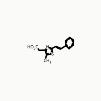 Cc1sc(/C=C/c2ccccc2)nc1CC(=O)O